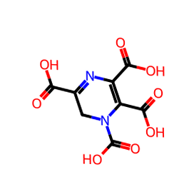 O=C(O)C1=NC(C(=O)O)=C(C(=O)O)N(C(=O)O)C1